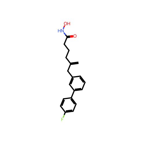 C=C(CCCC(=O)NO)Cc1cccc(-c2ccc(F)cc2)c1